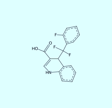 O=C(O)C1=CNc2ccccc2C1C(F)(F)c1ccccc1F